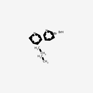 Br.Br.CC.CC.c1ccncc1.c1ccncc1